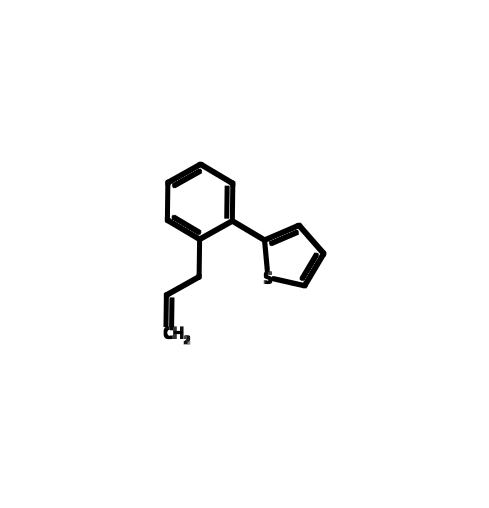 C=CCc1ccccc1-c1cccs1